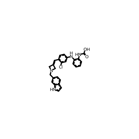 O=C(O)Nc1ccccc1Nc1ccc(C=C2CN(Cc3ccc4cc[nH]c4c3)C2)c(Cl)c1